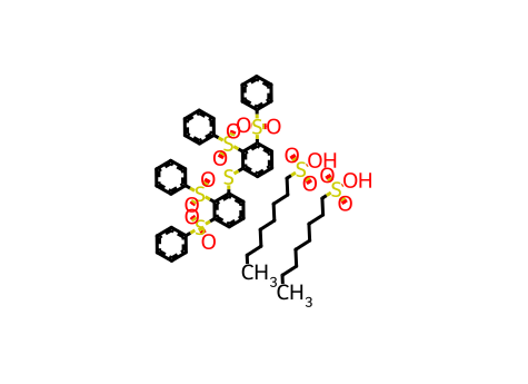 CCCCCCCCS(=O)(=O)O.CCCCCCCCS(=O)(=O)O.O=S(=O)(c1ccccc1)c1cccc(Sc2cccc(S(=O)(=O)c3ccccc3)c2S(=O)(=O)c2ccccc2)c1S(=O)(=O)c1ccccc1